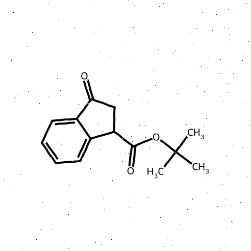 CC(C)(C)OC(=O)C1CC(=O)c2ccccc21